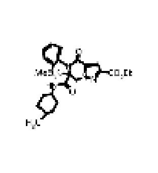 CCOC(=O)c1cc2n(n1)CC(C)(C(=O)NC1CCC(C)CC1)N(c1ccccc1OC)C2=O